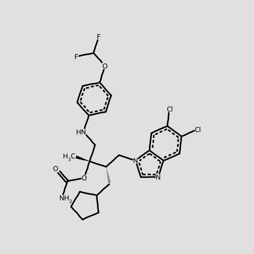 C[C@](CNc1ccc(OC(F)F)cc1)(OC(N)=O)[C@@H](CC1CCCC1)Cn1cnc2cc(Cl)c(Cl)cc21